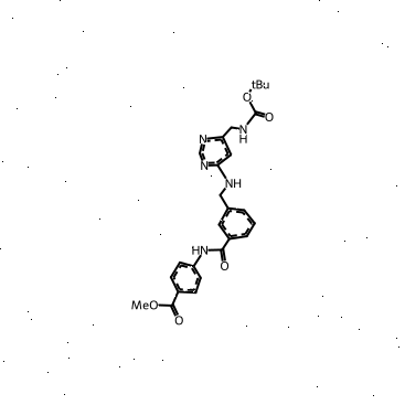 COC(=O)c1ccc(NC(=O)c2cccc(CNc3cc(CNC(=O)OC(C)(C)C)ncn3)c2)cc1